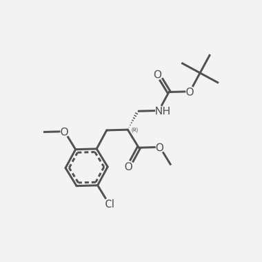 COC(=O)[C@@H](CNC(=O)OC(C)(C)C)Cc1cc(Cl)ccc1OC